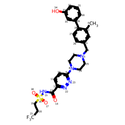 Cc1cc(CN2CCN(c3ccc(C(=O)NS(=O)(=O)CCC(F)(F)F)nn3)CC2)ccc1-c1cccc(O)c1